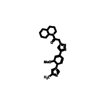 COC1C=C(c2cn(CC(=O)N3CCCC4CCCCC43)nn2)C=CC1n1cnc(C)c1